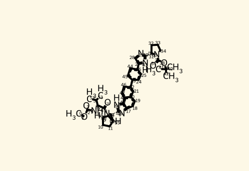 COC(=O)N[C@H](C(=O)N1[C@@H]2CC[C@@H](C2)[C@H]1c1nc2ccc3cc(-c4ccc(-c5cnc([C@@H]6CCCN6C(=O)OC(C)(C)C)[nH]5)cc4)ccc3c2[nH]1)C(C)C